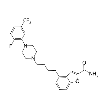 NC(=O)c1cc2c(CCCCN3CCN(c4cc(C(F)(F)F)ccc4F)CC3)cccc2o1